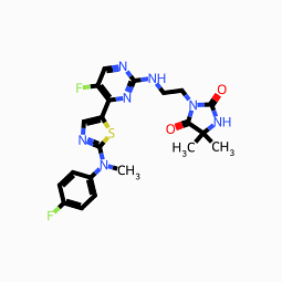 CN(c1ccc(F)cc1)c1ncc(-c2nc(NCCN3C(=O)NC(C)(C)C3=O)ncc2F)s1